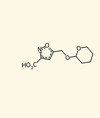 O=C(O)c1cc(COC2CCCCO2)on1